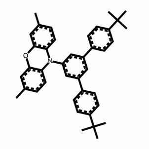 Cc1ccc2c(c1)Oc1cc(C)ccc1N2c1cc(-c2ccc(C(C)(C)C)cc2)cc(-c2ccc(C(C)(C)C)cc2)c1